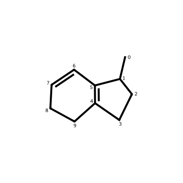 CC1CCC2=C1C=CCC2